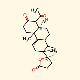 CC(=O)C1C(=O)CCC2(C)C3=CCC4(C)C(CC[C@@]45CCC(=O)O5)C3CC[C@]12C#N